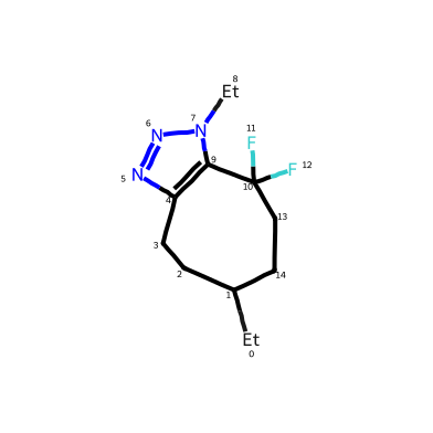 CCC1CCc2nnn(CC)c2C(F)(F)CC1